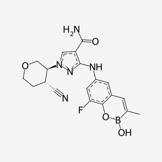 CC1=Cc2cc(Nc3nn([C@@H]4COCC[C@H]4C#N)cc3C(N)=O)cc(F)c2OB1O